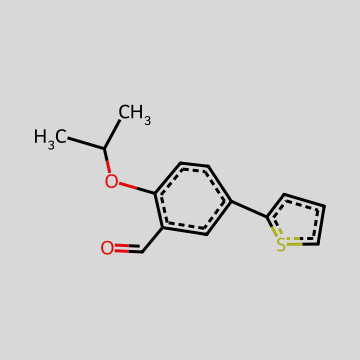 CC(C)Oc1ccc(-c2cccs2)cc1C=O